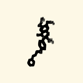 COc1cc2nc(C)n(-c3ccc(OCCCN4CCCCC4)cc3)c(=O)c2cc1OC